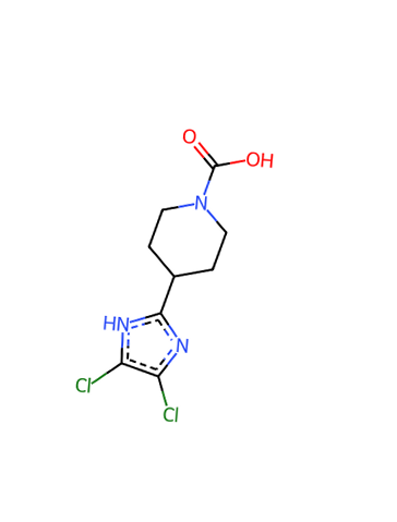 O=C(O)N1CCC(c2nc(Cl)c(Cl)[nH]2)CC1